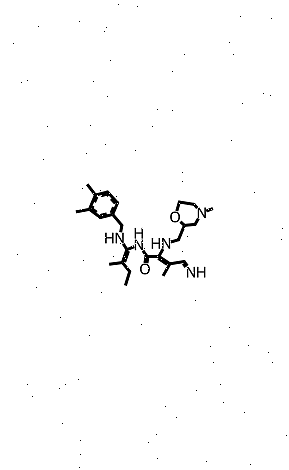 CC/C(C)=C(/NCc1ccc(C)c(C)c1)NC(=O)/C(NCC1CN(C)CCO1)=C(\C)C=N